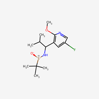 COc1ncc(F)cc1C(N[S@+]([O-])C(C)(C)C)C(C)C